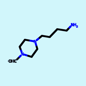 NCCCCN1CCN([C]=O)CC1